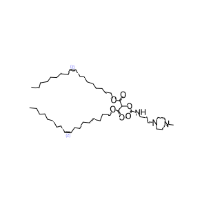 CCCCCCCC/C=C\CCCCCCCCOC(=O)C(OC(=O)NCCCN1CCN(C)CC1)C(=O)OCCCCCCCC/C=C\CCCCCCCC